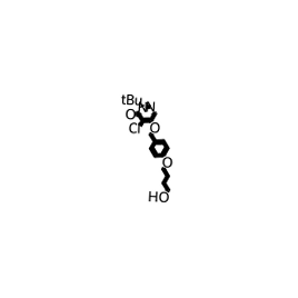 CC(C)(C)n1ncc(OCc2ccc(OCCCCO)cc2)c(Cl)c1=O